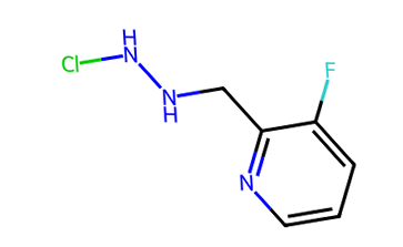 Fc1cccnc1CNNCl